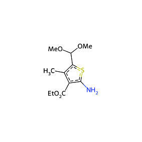 CCOC(=O)c1c(N)sc(C(OC)OC)c1C